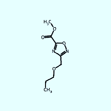 CCCOCc1noc(C(=O)OC)n1